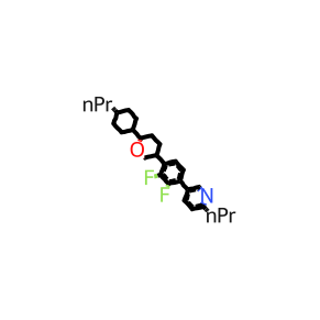 CCCc1ccc(-c2ccc(C3CCC(C4CCC(CCC)CC4)OC3)c(F)c2F)cn1